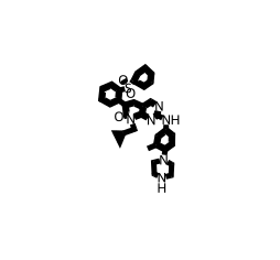 Cc1cc(Nc2ncc3cc(-c4ccccc4S(=O)(=O)c4ccccc4)c(=O)n(CC4CC4)c3n2)ccc1N1CCNCC1